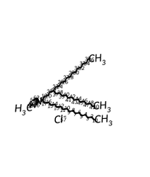 CCCCCCCCCCCCCCCCCCC(CCCC(CCCCCCCCCCCCCC)CCCCCCCCCCCCCC)n1cc[n+](C)c1.[Cl-]